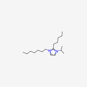 CCCCCCCn1cc[n+](C(C)C)c1CCCCC